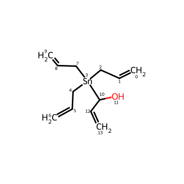 C=C[CH2][Sn]([CH2]C=C)([CH2]C=C)[CH](O)C=C